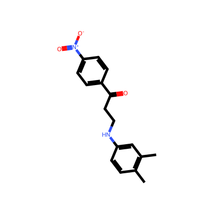 Cc1ccc(NCCC(=O)c2ccc([N+](=O)[O-])cc2)cc1C